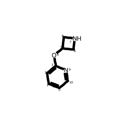 c1ccc(OC2CNC2)nc1